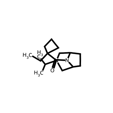 CCC1(C(=O)N2C3CCC2CN(C(C)C)C3)CCC1